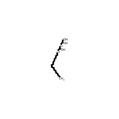 CCCCCCCC/C=C\CCCCCCCCOCC(O)COCC(O)CO